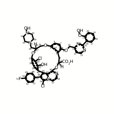 O=C(O)[C@H]1Cc2cc(ccc2OCc2ccnc(-c3ccccc3OO)n2)OC[C@@H](CN2CCN(O)CC2)Oc2ccc(c(O)c2Cl)-c2c(-c3ccc(F)cc3)c(Cl)n3ccnc(c23)O1